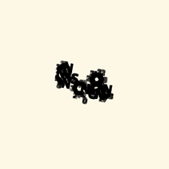 C[C@@H]1CC[C@@H](Sc2nccn3ccnc23)CN1C(=O)c1ccccc1-n1nccn1